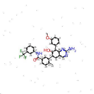 COc1cccc(-c2c(O)c(-c3cc(C(=O)Nc4cccc(C(F)(F)F)c4)ccc3C)cc3cnc(N)nc23)c1